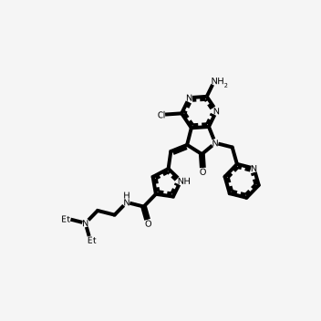 CCN(CC)CCNC(=O)c1c[nH]c(C=C2C(=O)N(Cc3ccccn3)c3nc(N)nc(Cl)c32)c1